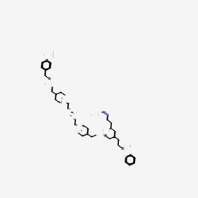 CCCCCCCC/C=C\CCCCC(CCC(=O)Oc1ccccc1)CC(=O)OCCC1CCN(CCSSCCN2CCC(CCOC(=O)Cc3ccc(O)cc3)CC2)CC1